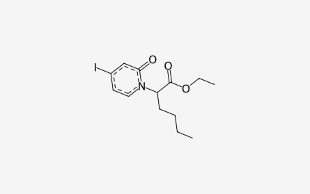 CCCCC(C(=O)OCC)n1ccc(I)cc1=O